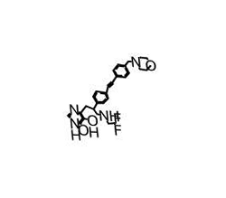 O=c1[nH]cnc(CC(CNCC(F)F)c2ccc(C#Cc3ccc(CN4CCOCC4)cc3)cc2)c1O